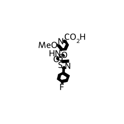 COc1nc(C(=O)O)ccc1NS(=O)(=O)c1cnc(-c2ccc(F)cc2)s1